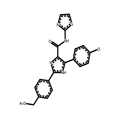 CC(=O)OCc1ccc(-c2nc(C(=O)Nc3nccs3)c(-c3ccc(Cl)cc3)[nH]2)cc1